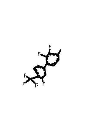 Cc1ccc(-c2ccc(C(F)(F)F)c(F)c2)c(F)c1F